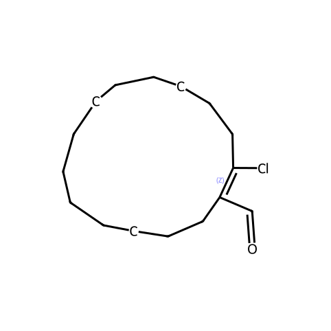 O=C/C1=C(\Cl)CCCCCCCCCCCCC1